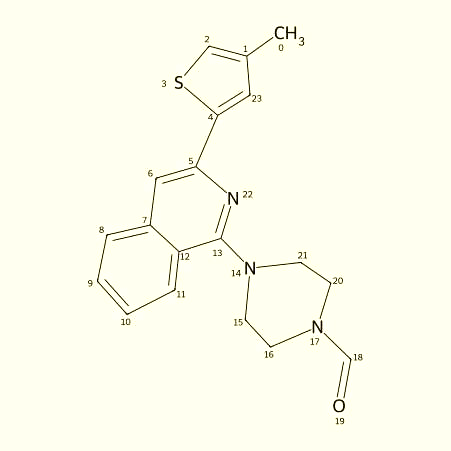 Cc1csc(-c2cc3ccccc3c(N3CCN(C=O)CC3)n2)c1